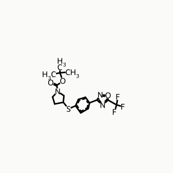 CC(C)(C)OC(=O)N1CCC(Sc2ccc(-c3noc(C(F)(F)F)n3)cc2)C1